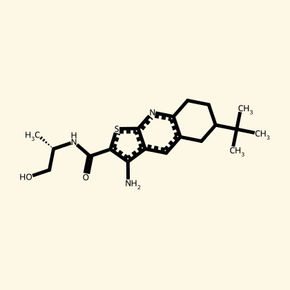 C[C@@H](CO)NC(=O)c1sc2nc3c(cc2c1N)CC(C(C)(C)C)CC3